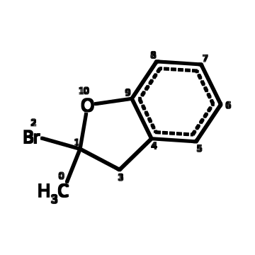 CC1(Br)Cc2ccccc2O1